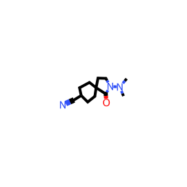 CN(C)N1CCC2(CCC(C#N)CC2)C1=O